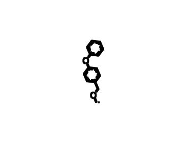 [CH2]OCc1ccc(Oc2ccccc2)cc1